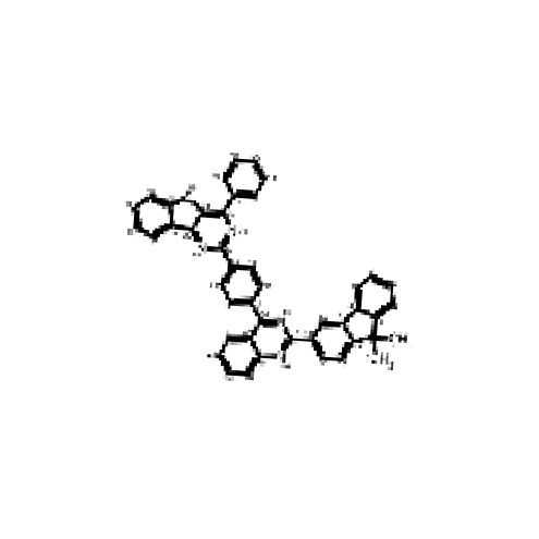 CC1(C)c2ccccc2-c2cc(-c3nc(-c4ccc(-c5nc(-c6ccccc6)c6sc7ccccc7c6n5)cc4)c4ccccc4n3)ccc21